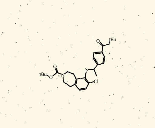 CCCCOC(=O)N1CCc2ccc(Cl)c(SC(C)c3ccc(C(=O)CC(C)(C)C)cc3)c2CC1